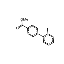 COC(=O)c1ccc(-c2ccccc2C)cc1